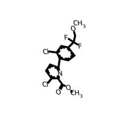 COCC(F)(F)c1ccc(-c2ccc(Cl)c(C(=O)OC)n2)c(Cl)c1